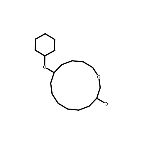 [O]C1CCCCCCC(OC2[CH]CCCC2)CCCCOC1